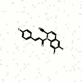 N#CC1C=Cc2cc(F)c(F)cc2N1C(=O)/C=C/c1ccc(F)cc1